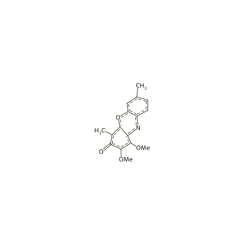 COc1c2nc3ccc(C)cc3oc-2c(C)c(=O)c1OC